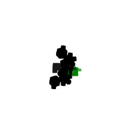 Cc1cccc(-c2c(C)c(C)c(C)c3c2C=C(C(C)C)[CH]3[Zr+2]2([CH]3C(C(C)C)=Cc4c(-c5cccc(C)c5)c(C)c(C)c(C)c43)[CH2][CH2]2)c1.[Cl-].[Cl-]